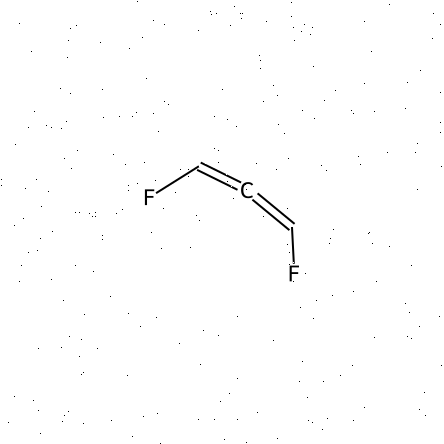 FC=C=CF